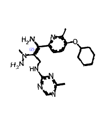 Cc1ncnc(NC/C(=C(/N)c2ccc(OC3CCCCC3)c(C)n2)N(C)N)n1